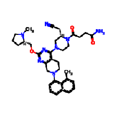 Cc1cccc2cccc(N3CCc4c(nc(OC[C@@H]5CCCN5C)nc4N4CCN(C(=O)CCC(N)=O)[C@@H](CC#N)C4)C3)c12